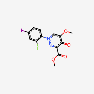 COC(=O)c1nn(-c2ccc(I)cc2F)cc(OC)c1=O